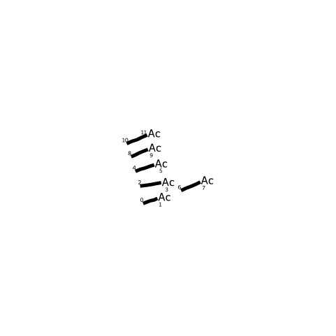 CC(C)=O.CC(C)=O.CC(C)=O.CC(C)=O.CC(C)=O.CC(C)=O